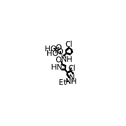 CCNc1cc(-c2c[nH]c(C(=O)N[C@H](COP(=O)(O)O)c3cccc(Cl)c3)c2)c(Cl)cn1